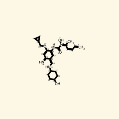 C=C/C=C\C(C)=[N+](\O)C(=O)NC1=C/C(=C/NC2CCC(O)CC2)C(=N)C=C1OCC1CC1